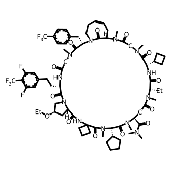 CCO[C@@H]1C[C@H]2C(=O)NC3(CCC3)C(=O)N(C)[C@@H](C3CCCC3)C(=O)N(C)[C@H](C(=O)N(C)C)CC(=O)N(C)[C@@H](CC)C(=O)N[C@@H](C3CCC3)C(=O)N(C)CC(=O)N(C)[C@H]3C/C=C\CCN(C3=O)[C@@H](Cc3ccc(C(F)(F)F)cc3)C(=O)N(C)CC(=O)N[C@@H](CCc3cc(F)c(C(F)(F)F)c(F)c3)C(=O)N2C1